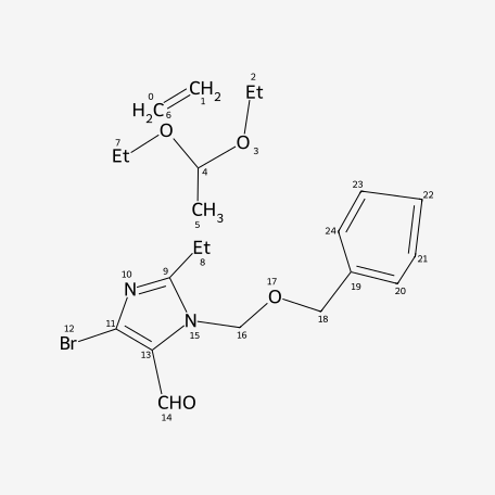 C=C.CCOC(C)OCC.CCc1nc(Br)c(C=O)n1COCc1ccccc1